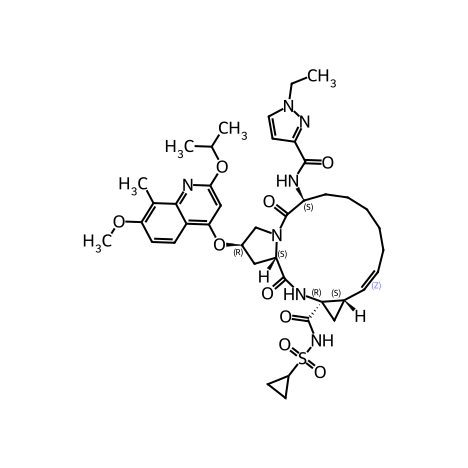 CCn1ccc(C(=O)N[C@H]2CCCCC/C=C\[C@@H]3C[C@@]3(C(=O)NS(=O)(=O)C3CC3)NC(=O)[C@@H]3C[C@@H](Oc4cc(OC(C)C)nc5c(C)c(OC)ccc45)CN3C2=O)n1